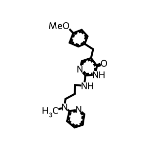 COc1ccc(Cc2cnc(NCCCN(C)c3ccccn3)[nH]c2=O)cc1